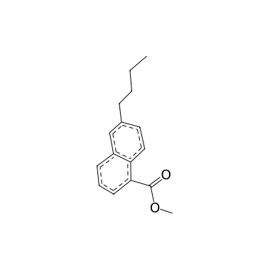 CCCCc1ccc2c(C(=O)OC)cccc2c1